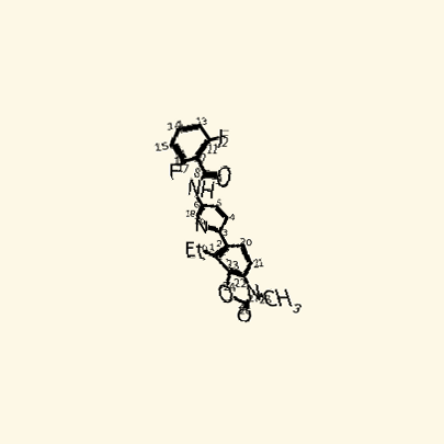 CCc1c(-c2ccc(NC(=O)c3c(F)cccc3F)cn2)ccc2c1oc(=O)n2C